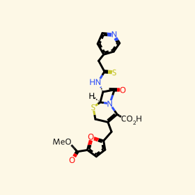 COC(=O)c1ccc(CC2=C(C(=O)O)N3C(=O)[C@@H](NC(=S)Cc4ccncc4)[C@@H]3SC2)o1